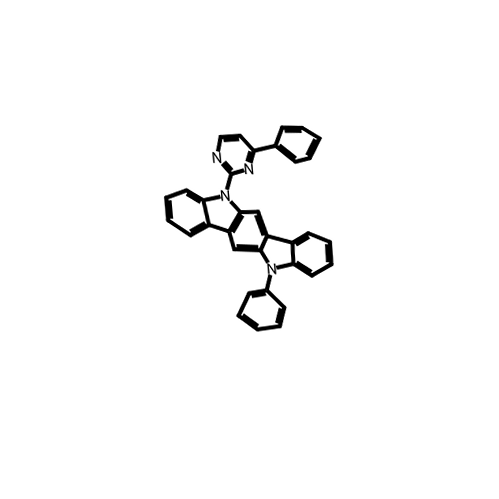 c1ccc(-c2ccnc(-n3c4ccccc4c4cc5c(cc43)c3ccccc3n5-c3ccccc3)n2)cc1